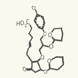 O=C(O)CCC/C=C/CC1C(=O)CC(OC2CCCCO2)C1OCC(COc1ccc(Cl)cc1)OC1CCCCO1